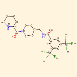 O=C(NCC1CCN(C(=O)C2CCCCN2)CC1)c1cc(C(F)(F)F)cc(C(F)(F)F)c1